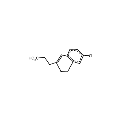 O=C(O)CCC1=Cc2ccc(Cl)cc2CC1